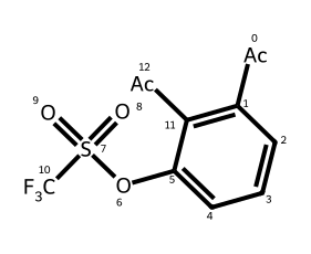 CC(=O)c1cccc(OS(=O)(=O)C(F)(F)F)c1C(C)=O